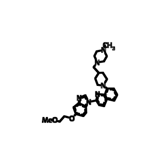 COCCOc1ccc2c(c1)ncn2-c1ccc2cccc(N3CCC(CN4CCN(C)CC4)CC3)c2n1